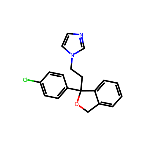 Clc1ccc(C2(CCn3ccnc3)OCc3ccccc32)cc1